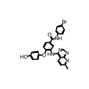 Cc1ccc2c(Nc3cc(C(=O)Nc4ccc(Br)cc4)ccc3Oc3ccc(O)cc3)ncnc2n1